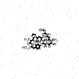 CC[C@H](C)[C@@H]([C@@H](CC(=O)N1CCC[C@H]1[C@H](OC)[C@@H](C)C(=O)NC(Cc1ccccc1)C(=O)O)OC)N(C)C(=O)[C@@H](NC(=O)[C@H](C(C)C)N(C)CCCNC(=O)OC(C)(C)C)C(C)C